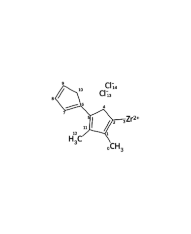 CC1=[C]([Zr+2])CC(C2=CC=CC2)=C1C.[Cl-].[Cl-]